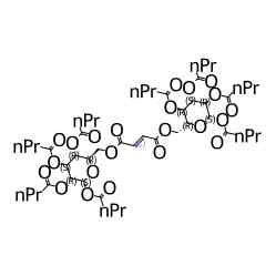 CCCC(=O)O[C@@H]1O[C@H](COC(=O)/C=C/C(=O)OC[C@H]2O[C@@H](OC(=O)CCC)[C@H](OC(=O)CCC)[C@@H](OC(=O)CCC)[C@@H]2OC(=O)CCC)[C@@H](OC(=O)CCC)[C@H](OC(=O)CCC)[C@H]1OC(=O)CCC